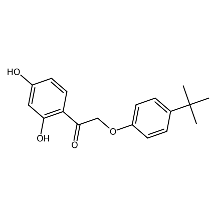 CC(C)(C)c1ccc(OCC(=O)c2ccc(O)cc2O)cc1